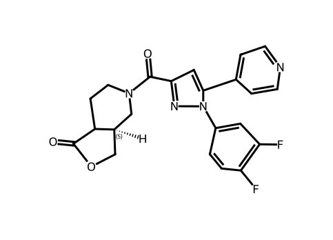 O=C1OC[C@@H]2CN(C(=O)c3cc(-c4ccncc4)n(-c4ccc(F)c(F)c4)n3)CCC12